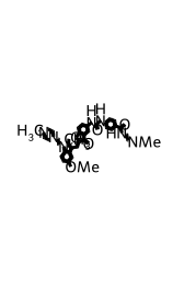 CNCCNC(=O)c1ccc(NC(=O)Nc2ccc3c(c2)C(=O)C(=Cc2c(C)n(CCN4CCN(C)CC4)c4ccc(OC)cc24)O3)cc1